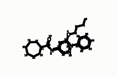 CCCCOc1c/c(=N\C(=O)C2CCCCCC2)cnn1-c1ccccc1